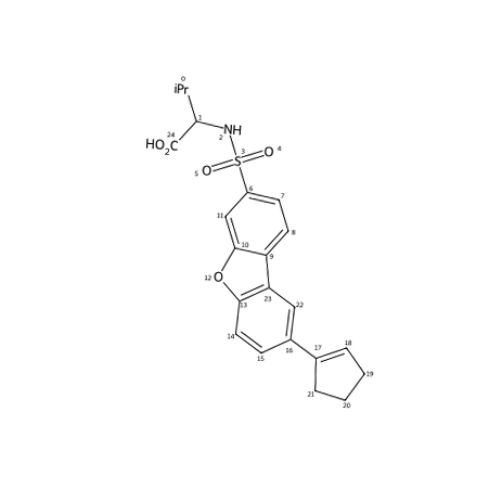 CC(C)C(NS(=O)(=O)c1ccc2c(c1)oc1ccc(C3=CCCC3)cc12)C(=O)O